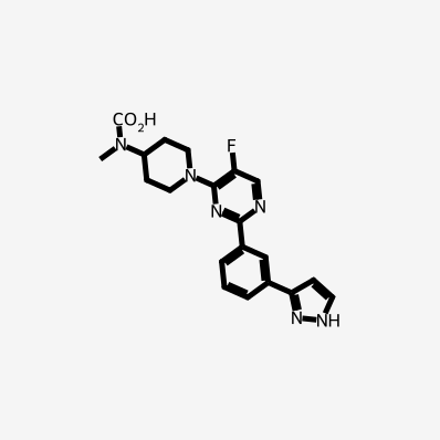 CN(C(=O)O)C1CCN(c2nc(-c3cccc(-c4cc[nH]n4)c3)ncc2F)CC1